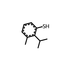 Cc1cccc(S)c1C(C)C